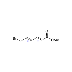 COC(=O)/C=C/C=C/CBr